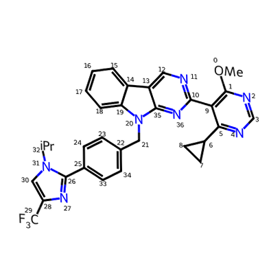 COc1ncnc(C2CC2)c1-c1ncc2c3ccccc3n(Cc3ccc(-c4nc(C(F)(F)F)cn4C(C)C)cc3)c2n1